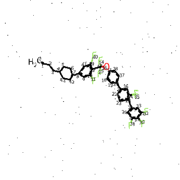 C=CCCC1CCC(c2cc(F)c(C(F)(F)Oc3ccc(-c4ccc(-c5cc(F)c(F)c(F)c5)c(F)c4)cc3)c(F)c2)CC1